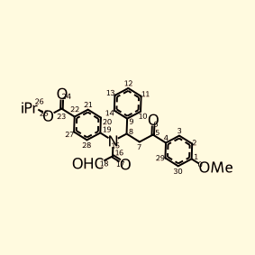 COc1ccc(C(=O)CC(c2ccccc2)N(C(=O)C=O)c2ccc(C(=O)OC(C)C)cc2)cc1